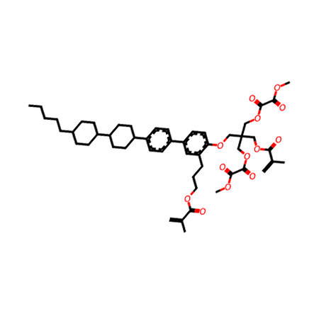 C=C(C)C(=O)OCCCc1cc(-c2ccc(C3CCC(C4CCC(CCCCC)CC4)CC3)cc2)ccc1OCC(COC(=O)C(=C)C)(COC(=O)C(=O)OC)COC(=O)C(=O)OC